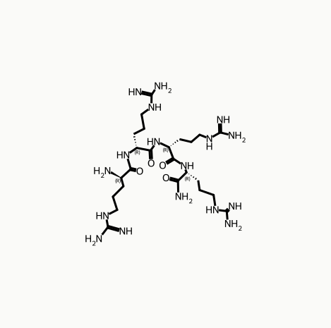 N=C(N)NCCC[C@@H](N)C(=O)N[C@H](CCCNC(=N)N)C(=O)N[C@H](CCCNC(=N)N)C(=O)N[C@H](CCCNC(=N)N)C(N)=O